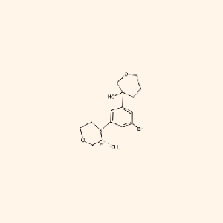 C[C@@H]1COCCN1c1cc(Br)cc(C2(O)CCCOC2)c1